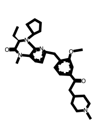 CC[C@@H]1C(=O)N(C)c2ccc(Cc3ccc(C(=O)CC4CCN(C)CC4)cc3OC)nc2N1C1CCCC1